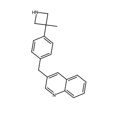 CC1(c2ccc(Cc3cnc4ccccc4c3)cc2)CNC1